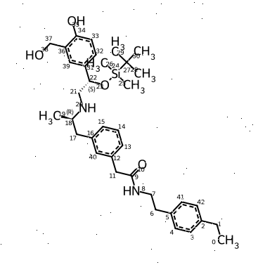 CCc1ccc(CCNC(=O)Cc2cccc(C[C@@H](C)NC[C@@H](O[Si](C)(C)C(C)(C)C)c3ccc(O)c(CO)c3)c2)cc1